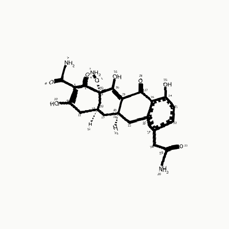 NO[C@@]12C(=O)C(C(N)=O)=C(O)C[C@@H]1C[C@@H]1Cc3c(CC(N)=O)ccc(O)c3C(=O)C1=C2O